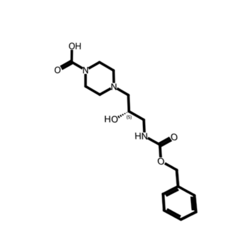 O=C(NC[C@H](O)CN1CCN(C(=O)O)CC1)OCc1ccccc1